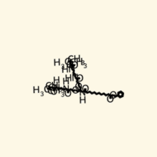 CC(C)(C)OC(=O)NCCCNC(=O)CCOCC(COCCC(=O)NCCCNC(=O)OC(C)(C)C)NC(=O)CCCCCCCCCCC(=O)OCc1ccccc1